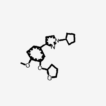 COc1ccc(-c2ccn(C3CCCC3)n2)cc1OC1CCCO1